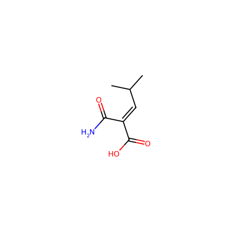 CC(C)/C=C(\C(N)=O)C(=O)O